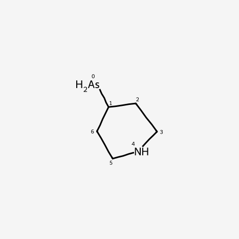 [AsH2]C1CCNCC1